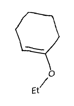 CCOC1=CCCCC1